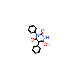 O=c1[nH]c(O)c(-c2ccccc2)c(=O)n1-c1ccccc1